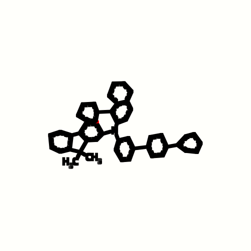 CC1(C)c2ccccc2-c2ccc(N(c3cccc(-c4ccc(-c5ccccc5)cc4)c3)c3ccc4ccccc4c3-c3ccccc3)cc21